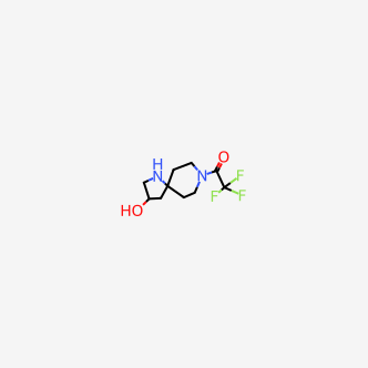 O=C(N1CCC2(CC1)CC(O)CN2)C(F)(F)F